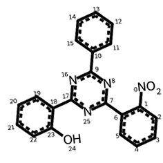 O=[N+]([O-])c1ccccc1-c1nc(-c2ccccc2)nc(-c2ccccc2O)n1